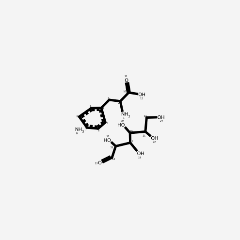 N.NC(Cc1ccccc1)C(=O)O.O=CC(O)C(O)C(O)C(O)CO